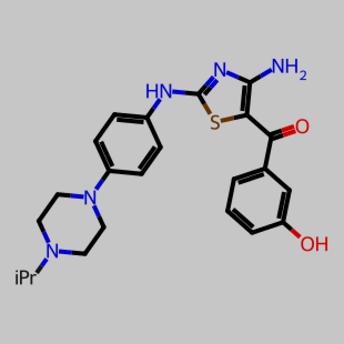 CC(C)N1CCN(c2ccc(Nc3nc(N)c(C(=O)c4cccc(O)c4)s3)cc2)CC1